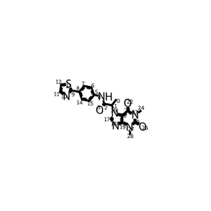 CC(C(=O)Nc1ccc(-c2nccs2)cc1)n1cnc2c1c(=O)n(C)c(=O)n2C